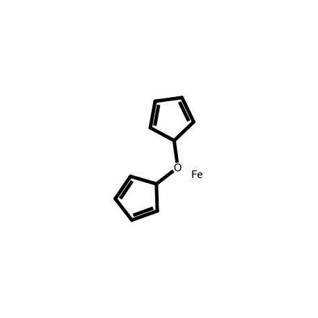 C1=CC(OC2C=CC=C2)C=C1.[Fe]